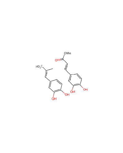 CC(=Cc1ccc(O)c(O)c1)C(=O)O.COC(=O)C=Cc1ccc(O)c(O)c1